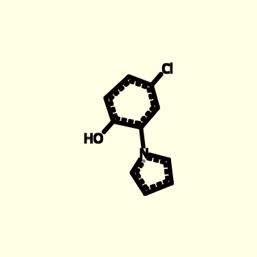 Oc1ccc(Cl)cc1-n1cccc1